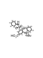 CCCCNc1cc(C(=O)O)cc(S(=O)(=O)Nc2ccccc2)c1Oc1ccccc1